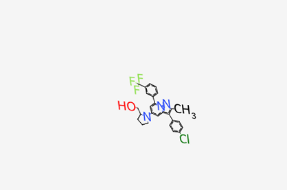 Cc1nn2c(-c3cccc(C(F)(F)F)c3)cc(N3CCCC3CO)cc2c1-c1ccc(Cl)cc1